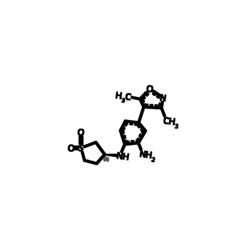 Cc1noc(C)c1-c1ccc(N[C@H]2CCS(=O)(=O)C2)c(N)c1